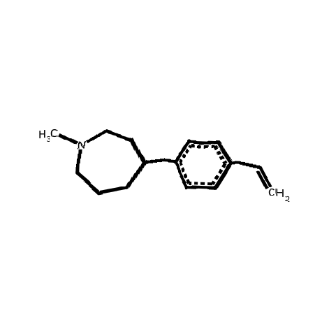 C=Cc1ccc(C2CCCN(C)CC2)cc1